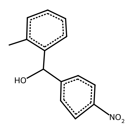 Cc1ccccc1C(O)c1ccc([N+](=O)[O-])cc1